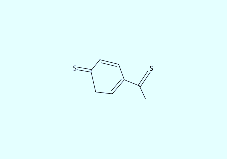 CC(=S)C1=CCC(=S)C=C1